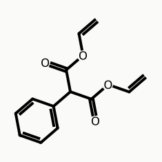 C=COC(=O)C(C(=O)OC=C)c1ccccc1